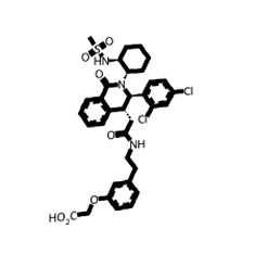 CS(=O)(=O)N[C@H]1CCCC[C@@H]1N1C(=O)c2ccccc2[C@@H](CC(=O)NCCc2cccc(OCC(=O)O)c2)[C@@H]1c1ccc(Cl)cc1Cl